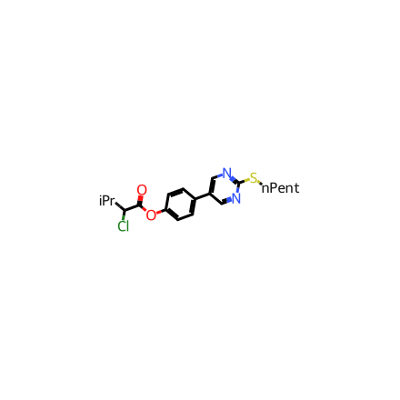 CCCCCSc1ncc(-c2ccc(OC(=O)C(Cl)C(C)C)cc2)cn1